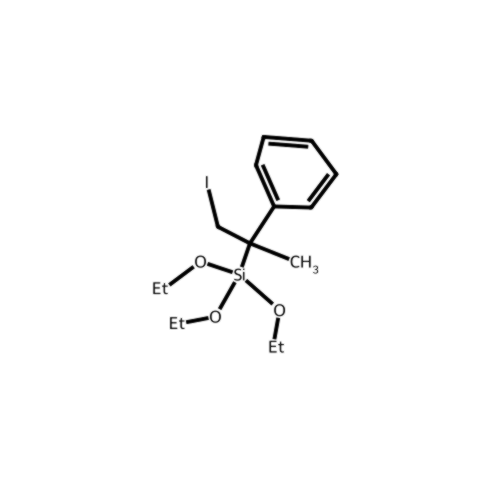 CCO[Si](OCC)(OCC)C(C)(CI)c1ccccc1